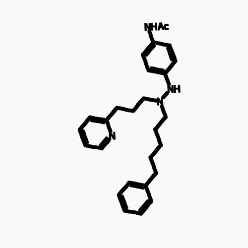 CC(=O)Nc1ccc(NN(CCCCCc2ccccc2)CCCc2ccccn2)cc1